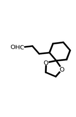 O=CCCC1CCCCC12OCCO2